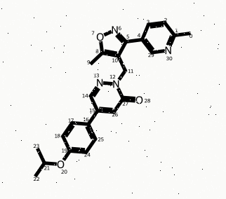 Cc1ccc(-c2noc(C)c2Cn2ncc(-c3ccc(OC(C)C)cc3)cc2=O)cn1